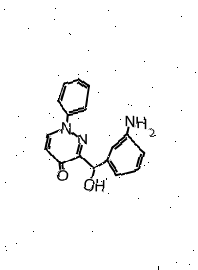 Nc1cccc(C(O)c2nn(-c3ccccc3)ccc2=O)c1